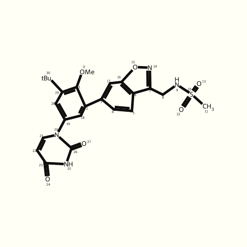 COc1c(-c2ccc3c(CNS(C)(=O)=O)noc3c2)cc(-n2ccc(=O)[nH]c2=O)cc1C(C)(C)C